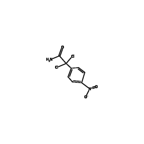 NC(=O)C(Cl)(Cl)c1ccc([N+](=O)[O-])cc1